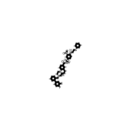 O=C(NS(=O)(=O)c1ccc(NCCSc2ccccc2)c([N+](=O)[O-])c1)c1ccc2c(c1)CC[C@H]1CN(Cc3ccccc3-c3ccc(F)c(F)c3)CCN21